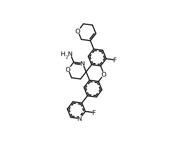 NC1=NC2(CCO1)c1cc(-c3cccnc3F)ccc1Oc1c(F)cc(C3=CCCOC3)cc12